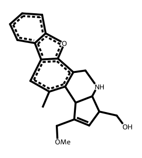 COCC1=CC(CO)C2NCc3c(c(C)cc4c3oc3ccccc34)C12